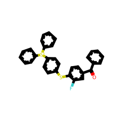 O=C(c1ccccc1)c1ccc(Sc2ccc([S+](c3ccccc3)c3ccccc3)cc2)c(F)c1